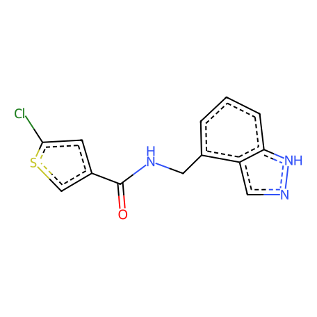 O=C(NCc1cccc2[nH]ncc12)c1csc(Cl)c1